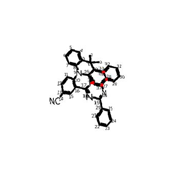 CC1(C)c2ccccc2N(c2ccc(C#N)cc2-c2nc(-c3ccccc3)nc(-c3ccccc3)n2)c2ccccc21